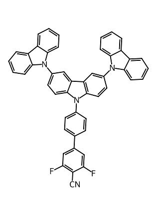 N#Cc1c(F)cc(-c2ccc(-n3c4ccc(-n5c6ccccc6c6ccccc65)cc4c4cc(-n5c6ccccc6c6ccccc65)ccc43)cc2)cc1F